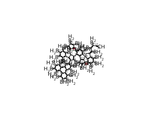 BC1=C(B)C(B)C2=C1C1(C/C(=C(B)\C(B)=C(\B)C#C)c3c(B)c(B)c(B)c(B)c31)c1c(B)c(B)c(B)c(C3=C(B)C(c4c(B)c(B)c5c6c(B)c(B)c(B)c(B)c6c6c(B)c(B)c(B)c(B)c6c5c4B)=C4c5c(B)c(B)c(B)c(B)c5N(C5=C(B)C(B)=C(B)C5B)C34)c12